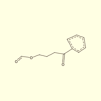 O=COCCCC(=O)c1ccccc1